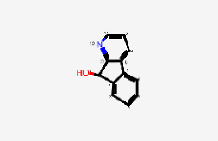 OC1c2ccccc2-c2cccnc21